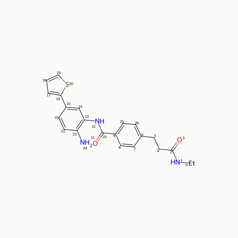 CCNC(=O)[CH]Cc1ccc(C(=O)Nc2cc(-c3cccs3)ccc2N)cc1